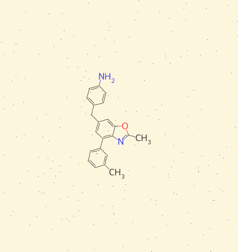 Cc1cccc(-c2cc(Cc3ccc(N)cc3)cc3oc(C)nc23)c1